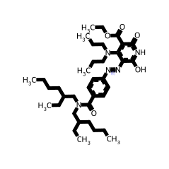 CCCCC(CC)CN(CC(CC)CCCC)C(=O)c1ccc(/N=N/c2c(O)[nH]c(=O)c(C(=O)OCC)c2N(CCC)CCC)cc1